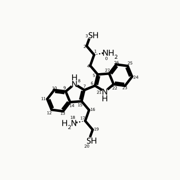 N[C@@H](CS)Cc1c(-c2[nH]c3ccccc3c2C[C@@H](N)CS)[nH]c2ccccc12